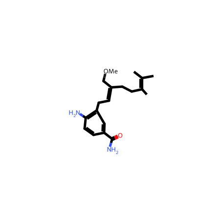 COC/C(=C\Cc1cc(C(N)=O)ccc1N)CCC(C)=C(C)C